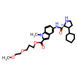 COCCOCCCOC(=O)c1cc2cc(NC(=O)[C@H]3NCCC3C3CCCCC3)ccc2n1C